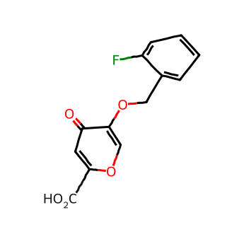 O=C(O)c1cc(=O)c(OCc2ccccc2F)co1